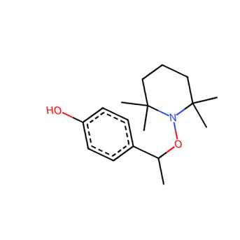 CC(ON1C(C)(C)CCCC1(C)C)c1ccc(O)cc1